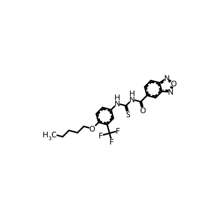 CCCCCOc1ccc(NC(=S)NC(=O)c2ccc3nonc3c2)cc1C(F)(F)F